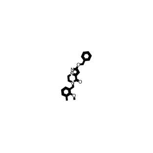 COc1c(C)cccc1CN1CCn2nc(OCc3ccccc3)cc2C1=O